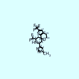 Cn1cc(C2CC3(CC(C(F)F)N2)OCCc2cc(C(F)(F)F)sc23)nn1